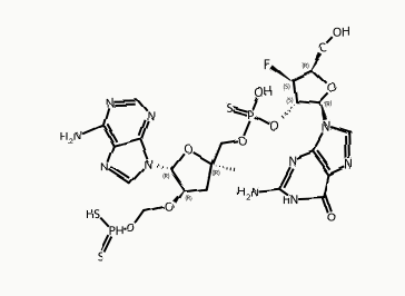 C[C@]1(COP(O)(=S)O[C@@H]2[C@@H](F)[C@@H](CO)O[C@H]2n2cnc3c(=O)[nH]c(N)nc32)C[C@@H](OCO[PH](=S)S)[C@H](n2cnc3c(N)ncnc32)O1